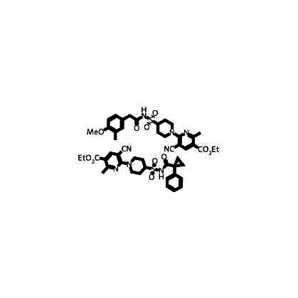 CCOC(=O)c1cc(C#N)c(N2CCC(S(=O)(=O)NC(=O)C3(c4ccccc4)CC3)CC2)nc1C.CCOC(=O)c1cc(C#N)c(N2CCC(S(=O)(=O)NC(=O)Cc3ccc(OC)c(C)c3)CC2)nc1C